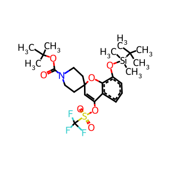 CC(C)(C)OC(=O)N1CCC2(C=C(OS(=O)(=O)C(F)(F)F)c3cccc(O[Si](C)(C)C(C)(C)C)c3O2)CC1